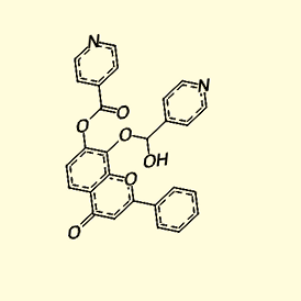 O=C(Oc1ccc2c(=O)cc(-c3ccccc3)oc2c1OC(O)c1ccncc1)c1ccncc1